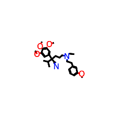 CCN(CCCC(C#N)(c1cc(OC)c(OC)c(OC)c1)C(C)C)CCc1cccc(OC)c1